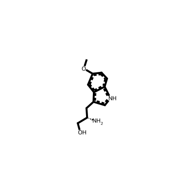 COc1ccc2[nH]cc(C[C@H](N)CO)c2c1